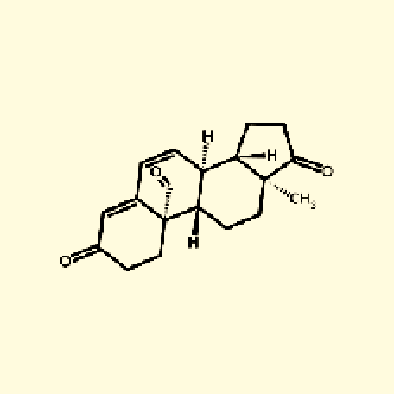 C[C@]12CC[C@H]3[C@@H](C=CC4=CC(=O)CC[C@@]43C=O)[C@@H]1CCC2=O